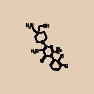 Cc1c(N2CCC(CN)(CO)CC2)nc(C)n(-c2cccc(Cl)c2Cl)c1=O